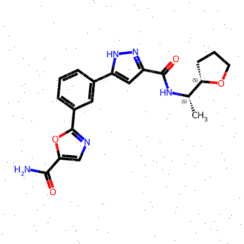 C[C@H](NC(=O)c1cc(-c2cccc(-c3ncc(C(N)=O)o3)c2)[nH]n1)[C@@H]1CCCO1